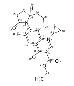 CCOC(=O)c1cn(C2CC2)c2c3c(c(F)cc2c1=O)N1C(=O)CC[C@H]1CCC3